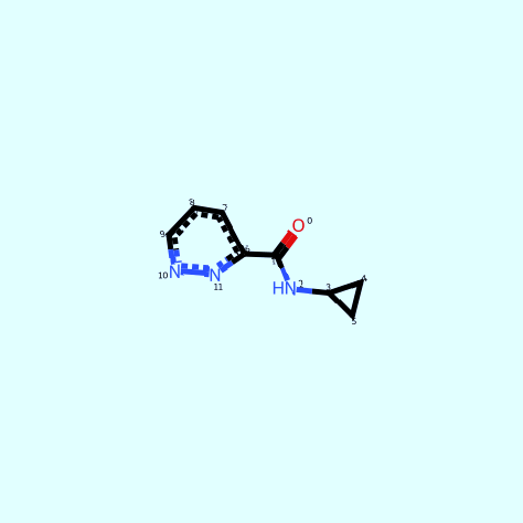 O=C(NC1CC1)c1cccnn1